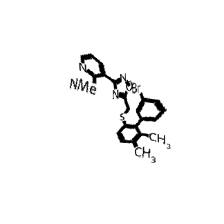 CNc1ncccc1-c1noc(CSc2ccc(C)c(C)c2-c2cccc(Br)c2)n1